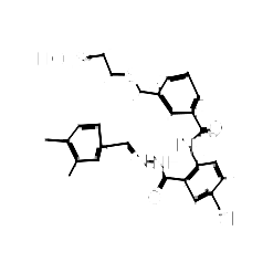 Cc1ccc(C=NNC(=O)c2cc(Cl)ccc2NC(=O)c2cccc(CSCCS(=O)(=O)O)c2)cc1C